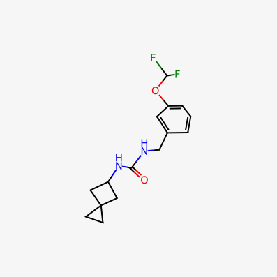 O=C(NCc1cccc(OC(F)F)c1)NC1CC2(CC2)C1